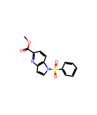 COC(=O)c1ccc2c(ccn2S(=O)(=O)c2ccccc2)n1